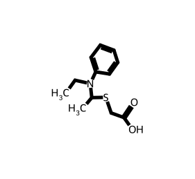 CCN(c1ccccc1)C(C)SCC(=O)O